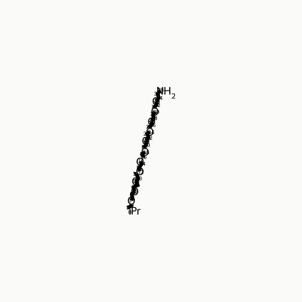 CC(C)CCOCCOCCOCCOCCOCCOCCOCCOCCOCCOCCOCCN